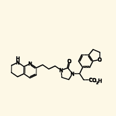 O=C(O)CC(c1ccc2c(c1)OCC2)N1CCN(CCCc2ccc3c(n2)NCCC3)C1=O